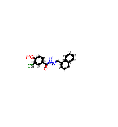 O=C(N/N=C/c1cccc2ccccc12)c1ccc(O)c(Cl)c1